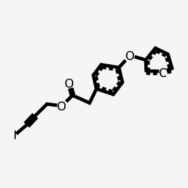 O=C(Cc1ccc(Oc2ccccc2)cc1)OCC#CI